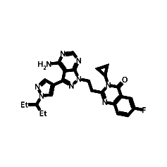 CCC(CC)n1cc(-c2nn(CCc3nc4ccc(F)cc4c(=O)n3C3CC3)c3ncnc(N)c23)cn1